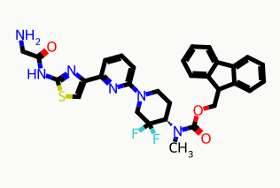 CN(C(=O)OCC1c2ccccc2-c2ccccc21)[C@H]1CCN(c2cccc(-c3csc(NC(=O)CN)n3)n2)CC1(F)F